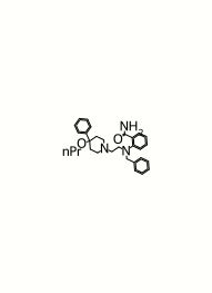 CCCOC1(c2ccccc2)CCN(CCN(Cc2ccccc2)c2ccccc2C(N)=O)CC1